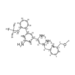 COCc1cccc(CN(N)/C=C(\N)c2cc(-c3ccccc3OC(F)(F)F)nc(N)n2)n1